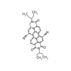 CCC(CC)N1Cc2cc(C#N)c3c4ccc5c6c(cc(C#N)c(c7ccc(c2c73)C1=O)c64)C(=O)N(C(CC)CC)C5=O